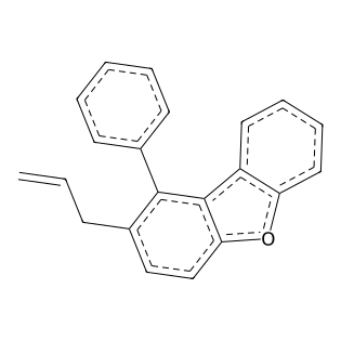 C=CCc1ccc2oc3ccccc3c2c1-c1ccccc1